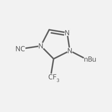 CCCCN1N=CN(C#N)C1C(F)(F)F